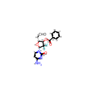 Nc1ccn([C@@H]2O[C@H](CC=O)C(OC(=O)c3ccccc3)C2(F)F)c(=O)n1